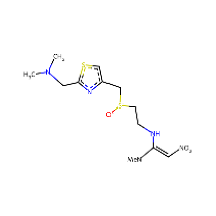 CN/C(=C/[N+](=O)[O-])NCC[S+]([O-])Cc1csc(CN(C)C)n1